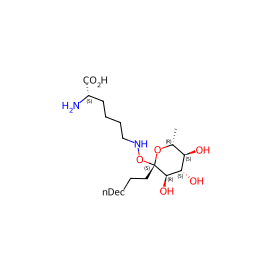 CCCCCCCCCCCC[C@@]1(ONCCCC[C@H](N)C(=O)O)O[C@H](C)[C@@H](O)[C@H](O)[C@H]1O